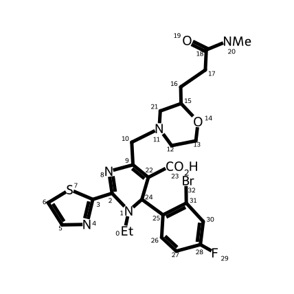 CCN1C(c2nccs2)=NC(CN2CCOC(CCC(=O)NC)C2)=C(C(=O)O)C1c1ccc(F)cc1Br